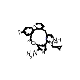 C[C@H]1Oc2cc(cnc2N)/C(NCC2CC2)=C(/C=N)Cc2cccnc2-c2ccc(F)cc21